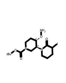 CC(C)(C)OC(=O)N1CC[C@H](ON)[C@@H](N2CCCC(I)C2=O)C1